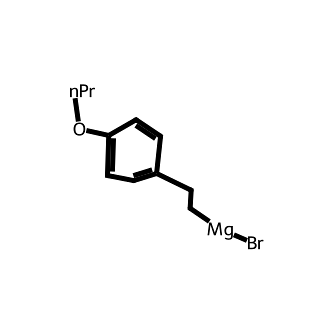 CCCOc1ccc(C[CH2][Mg][Br])cc1